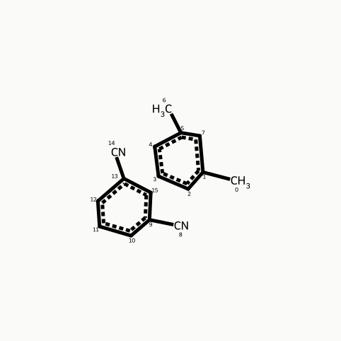 Cc1cccc(C)c1.N#Cc1cccc(C#N)c1